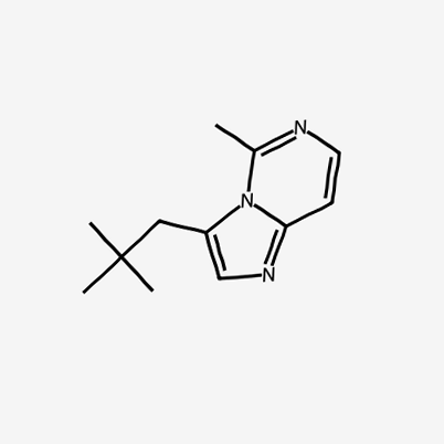 Cc1nccc2ncc(CC(C)(C)C)n12